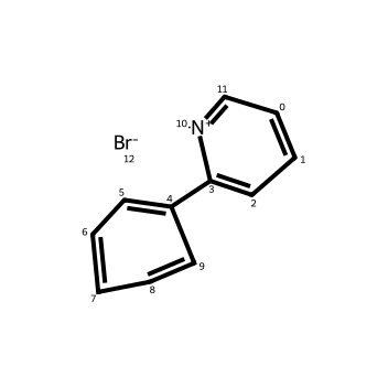 C1=CC=C(c2ccccc2)[N+]=C1.[Br-]